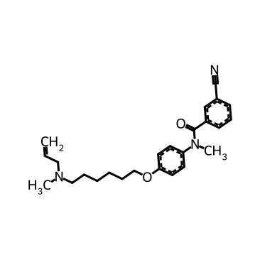 C=CCN(C)CCCCCCOc1ccc(N(C)C(=O)c2cccc(C#N)c2)cc1